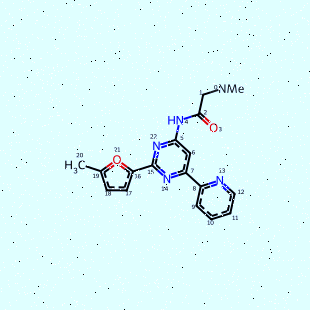 CNCC(=O)Nc1cc(-c2ccccn2)nc(-c2ccc(C)o2)n1